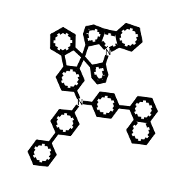 c1ccc(-c2ccc(N(c3ccc(-c4cccc5ccccc45)cc3)c3ccc4c(c3)C3(c5ccccc5-4)c4ccccc4-n4c5ccccc5c5cccc3c54)cc2)cc1